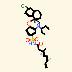 C=C/C=C\C=C(/C)CC(=O)NS(=O)(=O)c1ccc2c(c1)N(C(CC)CC)C[C@@]1(CCCc3cc(Cl)ccc31)CO2